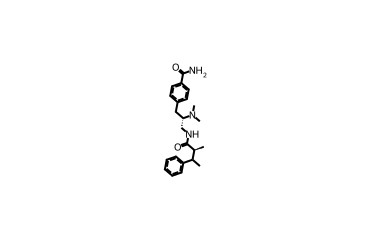 CC(c1ccccc1)[C@H](C)C(=O)NC[C@H](Cc1ccc(C(N)=O)cc1)N(C)C